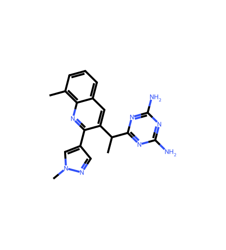 Cc1cccc2cc(C(C)c3nc(N)nc(N)n3)c(-c3cnn(C)c3)nc12